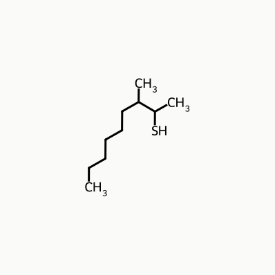 CCCCCCC(C)C(C)S